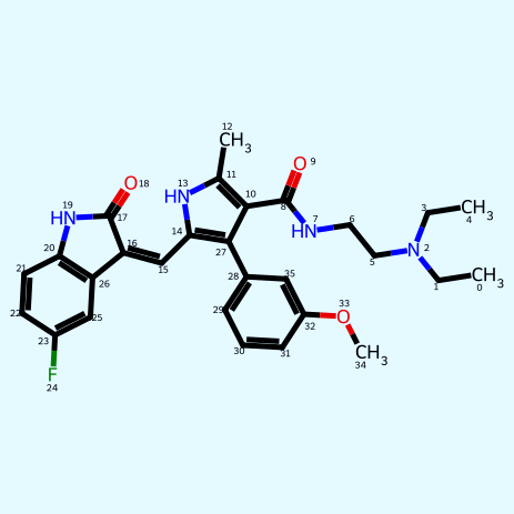 CCN(CC)CCNC(=O)c1c(C)[nH]c(C=C2C(=O)Nc3ccc(F)cc32)c1-c1cccc(OC)c1